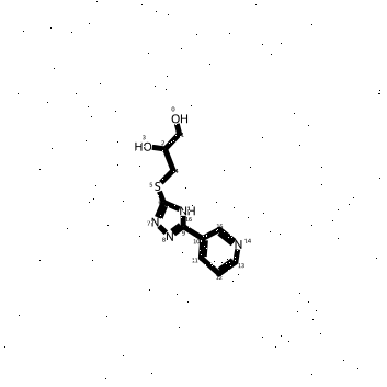 OCC(O)CSc1nnc(-c2cccnc2)[nH]1